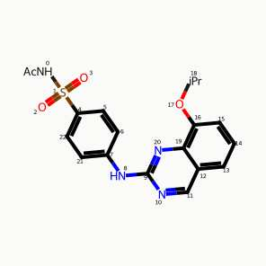 CC(=O)NS(=O)(=O)c1ccc(Nc2ncc3cccc(OC(C)C)c3n2)cc1